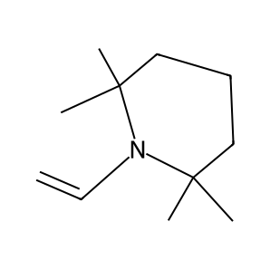 C=CN1C(C)(C)CCCC1(C)C